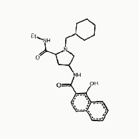 CCNC(=O)C1CC(NC(=O)c2ccc3ccccc3c2O)CN1CC1CCCCC1